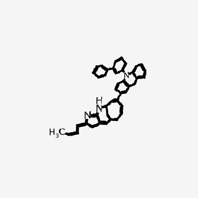 C/C=C\C=C1/CC2=CC3C/C=C\C(c4ccc5c(c4)Cc4ccccc4N5c4cccc(-c5ccccc5)c4)=C/C(C3)NC2=N1